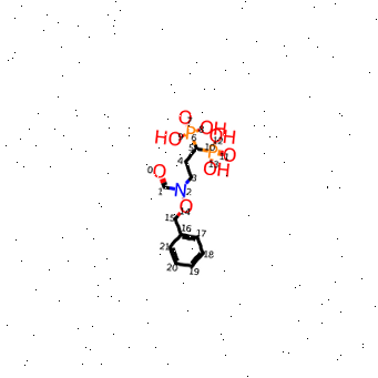 O=CN(CCC(P(=O)(O)O)P(=O)(O)O)OCc1ccccc1